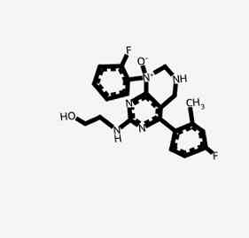 Cc1cc(F)ccc1-c1nc(NCCO)nc2c1CNC[N+]2([O-])c1ccccc1F